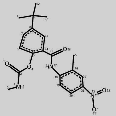 CNC(=O)Oc1ccc(C(C)(C)C)cc1C(=O)Nc1ccc([N+](=O)[O-])cc1C